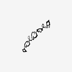 O=C(NC1CCC1)c1ccc(N2CCN(CC(=O)N3CCN(C4CCC4)CC3)CC2)nc1